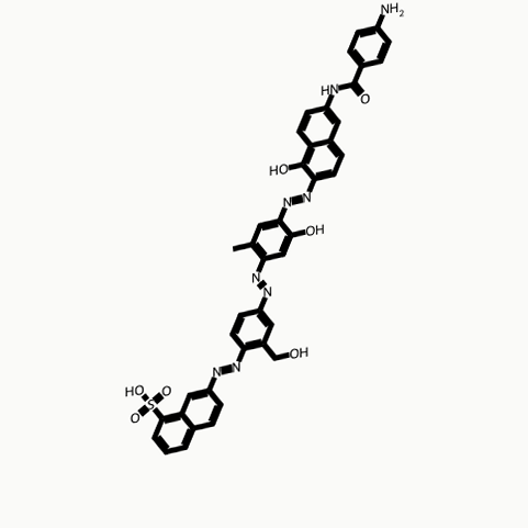 Cc1cc(N=Nc2ccc3cc(NC(=O)c4ccc(N)cc4)ccc3c2O)c(O)cc1N=Nc1ccc(N=Nc2ccc3cccc(S(=O)(=O)O)c3c2)c(CO)c1